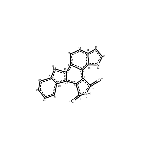 O=c1[nH]c(=O)c2c1c1c(ccc3ccnc31)c1nc3ccccc3c12